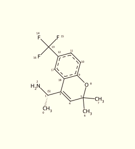 C[C@H](N)C1=CC(C)(C)Oc2ccc(C(F)(F)F)cc21